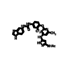 CC(=O)Nc1cc(Nc2cc(C)nc(Oc3ccc(NC(=O)Nc4ccc5[nH]cnc5c4)cc3C(F)(F)F)n2)[nH]n1